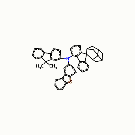 CC1(C)c2ccccc2-c2ccc(N(c3ccc4sc5ccccc5c4c3)c3cccc4c3-c3ccccc3C43C4CC5CC(C4)CC3C5)cc21